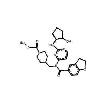 CC(C)(C)OC(=O)N1CCC(CN(C(=O)c2ccc3c(c2)CCO3)c2ccnc(NC3CCCC3O)n2)CC1